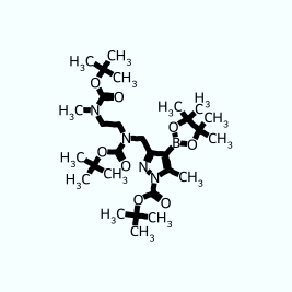 Cc1c(B2OC(C)(C)C(C)(C)O2)c(CN(CCN(C)C(=O)OC(C)(C)C)C(=O)OC(C)(C)C)nn1C(=O)OC(C)(C)C